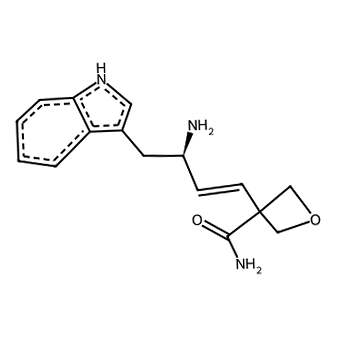 NC(=O)C1(/C=C/[C@H](N)Cc2c[nH]c3ccccc23)COC1